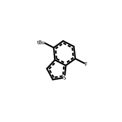 CC(C)(C)c1ccc(F)c2sccc12